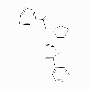 O=C(CN1CCC[C@@H]1C(=O)NC(=O)c1ccccc1)c1ccccc1